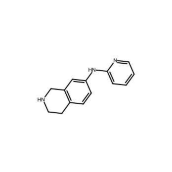 c1ccc(Nc2ccc3c(c2)CNCC3)nc1